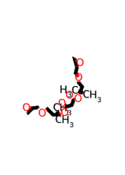 CC(C)(CCOCC1CO1)OC(=O)CC(=O)OC(C)(C)CCOCC1CO1